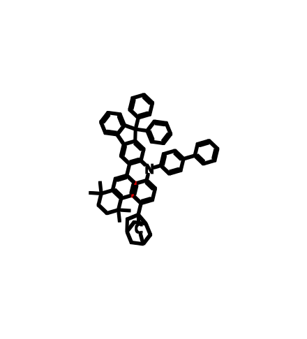 CC1(C)CCC(C)(C)c2cc(-c3cc4c(cc3N(c3ccc(-c5ccccc5)cc3)c3ccc(C56CC7CC(CC5C7)C6)cc3)C(c3ccccc3)(c3ccccc3)c3ccccc3-4)ccc21